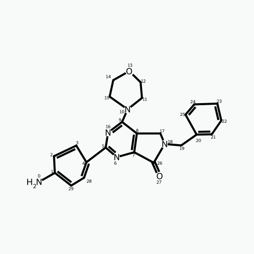 Nc1ccc(-c2nc3c(c(N4CCOCC4)n2)CN(Cc2ccccc2)C3=O)cc1